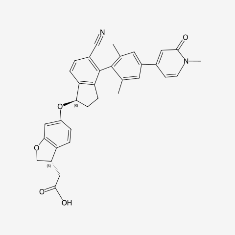 Cc1cc(-c2ccn(C)c(=O)c2)cc(C)c1-c1c(C#N)ccc2c1CC[C@H]2Oc1ccc2c(c1)OC[C@H]2CC(=O)O